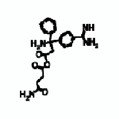 N=C(N)c1ccc(C(N)(CC(=O)OC(=O)CCC(N)=O)c2ccccc2)cc1